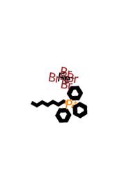 CCCCCCC[P+](c1ccccc1)(c1ccccc1)c1ccccc1.[Br][Fe-]([Br])([Br])[Br]